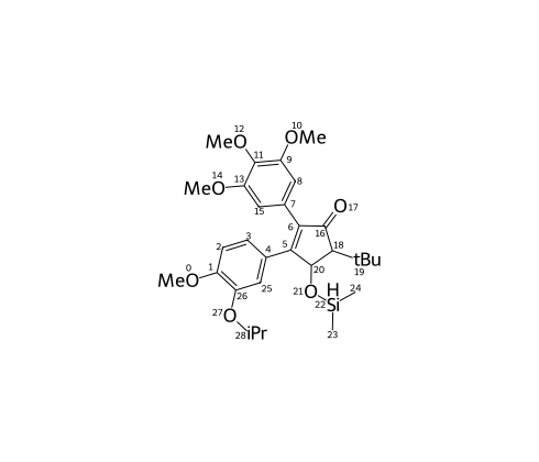 COc1ccc(C2=C(c3cc(OC)c(OC)c(OC)c3)C(=O)C(C(C)(C)C)C2O[SiH](C)C)cc1OC(C)C